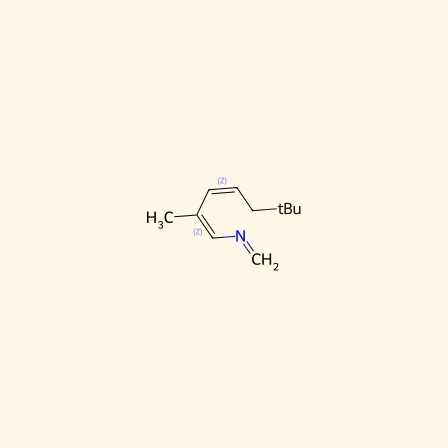 C=N/C=C(C)\C=C/CC(C)(C)C